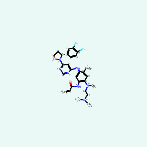 C=CC(=O)Nc1cc(Nc2cc(N3OCC[C@@H]3c3ccc(F)c(F)c3)ncn2)c(OC)cc1N(C)CCN(C)C